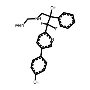 CNCNCC(O)(c1ccccc1)C(F)(F)c1ccc(-c2ccc(O)cc2)cn1